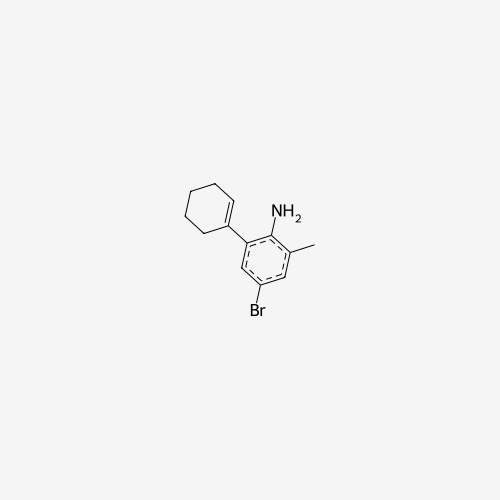 Cc1cc(Br)cc(C2=CCCCC2)c1N